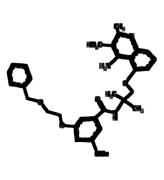 COc1cc(OCCOCc2ccccc2)cc(C(=O)NC(C)(C)COc2cccc3nc(C)c(C(=O)O)c(N)c23)c1